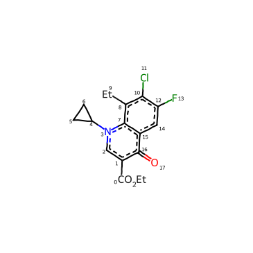 CCOC(=O)c1cn(C2CC2)c2c(CC)c(Cl)c(F)cc2c1=O